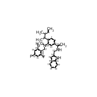 C=CC(C)C(C)c1ccc(C(=C)NCc2cc3ccccc3[nH]2)cc1N(C)Cc1c(F)cc(F)cc1F